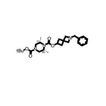 C[C@@H]1CN(C(=O)OC(C)(C)C)C[C@H](C)N1C(=O)OC1CC2(C1)CN(Cc1ccccc1)C2